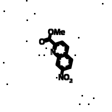 COC(=O)c1ccc2ccc([N+](=O)[O-])cc2n1